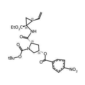 C=C[C@@H]1C[C@]1(NC(=O)[C@@H]1C[C@H](OC(=O)c2ccc([N+](=O)[O-])cc2)CN1C(=O)OC(C)(C)C)C(=O)OCC